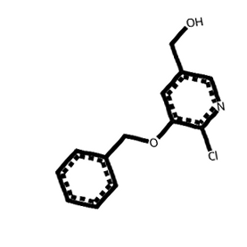 OCc1cnc(Cl)c(OCc2ccccc2)c1